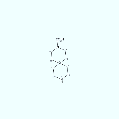 O=C(O)N1CCC2(CCNCC2)CC1